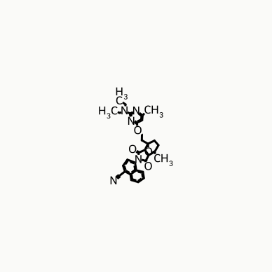 CCN(CC)c1nc(C)cc(OCCC23CCC(C)(O2)C2C(=O)N(c4ccc(C#N)c5ccccc45)C(=O)C23)n1